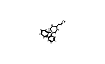 O=CCC1CC[Si](c2ccccc2)(c2ccccc2)CC1